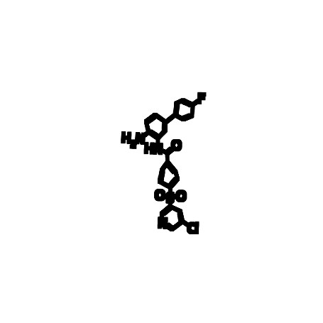 Nc1ccc(-c2ccc(F)cc2)cc1NC(=O)c1ccc(S(=O)(=O)c2cncc(Cl)c2)cc1